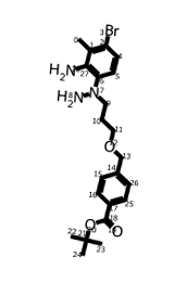 Cc1c(Br)ccc(N(N)CCCOCc2ccc(C(=O)OC(C)(C)C)cc2)c1N